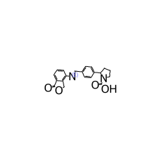 O=C1OCc2c(/N=C/c3ccc(C4CCCN4C(=O)O)cc3)cccc21